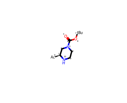 CC(=O)[C@H]1CN(C(=O)OC(C)(C)C)CCN1